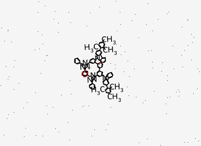 Cc1cc(C)c(-c2ccc3c(c2)c2ccccc2n3-c2cc(-c3cccc(-c4cc(-c5nc(-c6ccccc6)nc(-c6ccccc6)n5)ccc4-n4c5ccccc5c5cc(-c6c(C)cc(C)cc6C)ccc54)c3)cc(-c3nc(-c4ccccc4)nc(-c4ccccc4)n3)c2)c(C)c1